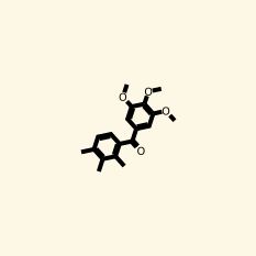 COc1cc(C(=O)c2ccc(C)c(C)c2C)cc(OC)c1OC